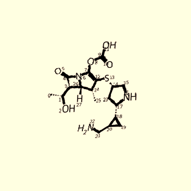 C[C@@H](O)[C@H]1C(=O)N2C(OC(=O)O)=C(S[C@@H]3CN[C@H](C4CC4CN)C3)[C@H](C)[C@H]12